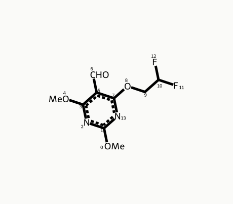 COc1nc(OC)c(C=O)c(OCC(F)F)n1